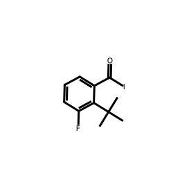 CC(C)(C)c1c(F)cccc1C(=O)I